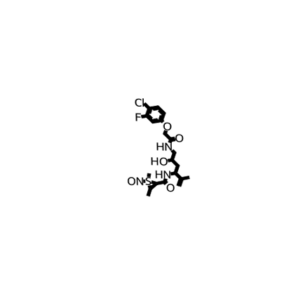 C=C(C)C(CC(O)CNC(=O)COc1ccc(Cl)c(F)c1)NC(=O)C1C(C)S1(C)N=O